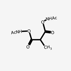 CC(=O)NOC(=O)C(C)C(=O)ONC(C)=O